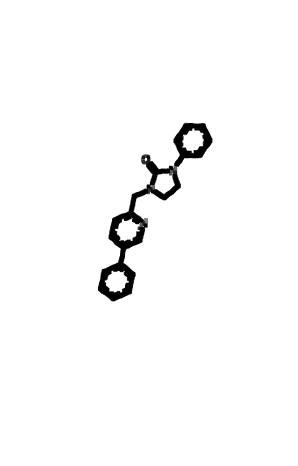 O=C1N(Cc2ccc(-c3ccccc3)cn2)CCN1c1ccccc1